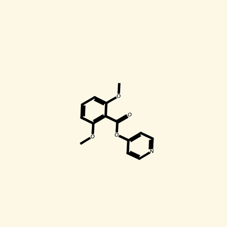 COc1cccc(OC)c1C(=O)Oc1ccncc1